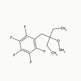 CCC(CC)(Cc1c(F)c(F)c(F)c(F)c1F)O[SiH3]